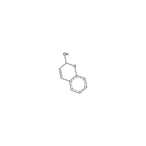 OC1C=Cc2ccccc2O1